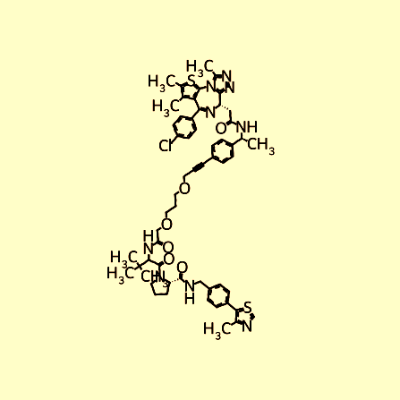 Cc1ncsc1-c1ccc(CNC(=O)[C@@H]2CCCN2C(=O)C(NC(=O)COCCCOCC#Cc2ccc([C@H](C)NC(=O)C[C@@H]3N=C(c4ccc(Cl)cc4)c4c(sc(C)c4C)-n4c(C)nnc43)cc2)C(C)(C)C)cc1